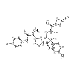 CN(C(=O)Oc1ccc(F)cc1)C1CCN(C(=O)C2(c3ccc(Cl)cc3)CCN(C(=O)C3CC(F)C3)CC2)C1